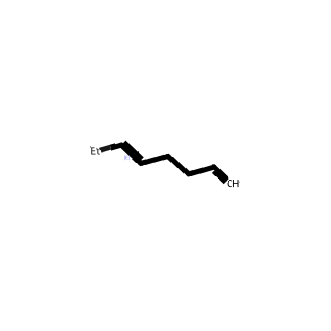 [CH]=CCC/C=C/C[CH2]